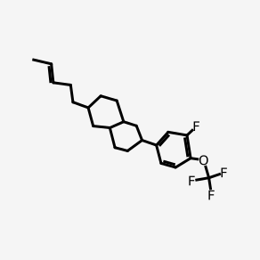 CC=CCCC1CCC2CC(c3ccc(OC(F)(F)F)c(F)c3)CCC2C1